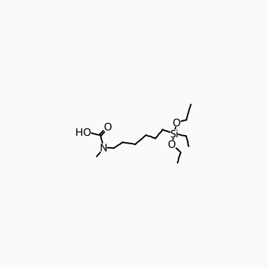 CCO[Si](CC)(CCCCCCN(C)C(=O)O)OCC